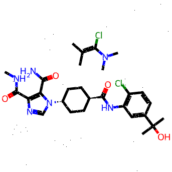 CC(C)=C(Cl)N(C)C.CNC(=O)c1ncn([C@H]2CC[C@H](C(=O)Nc3cc(C(C)(C)O)ccc3Cl)CC2)c1C(N)=O